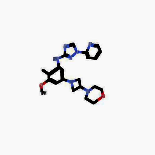 Cc1c(Nc2ncn(-c3ccccn3)n2)cc(N2CC(N3CCOCC3)C2)cc1OC(C)C